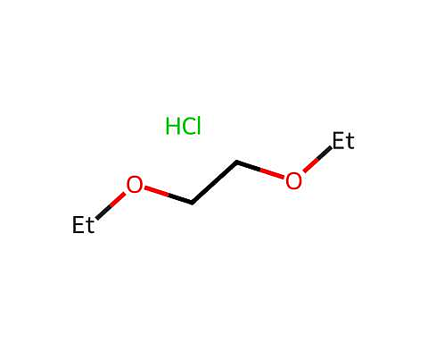 CCOCCOCC.Cl